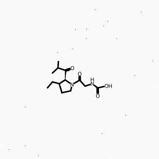 CCC1CCN(C(=O)CNC(=O)O)[C@@H]1C(=O)C(C)C